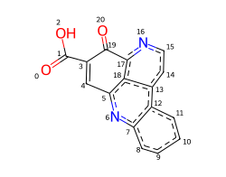 O=C(O)C1=Cc2nc3ccccc3c3ccnc(c23)C1=O